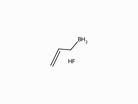 BCC=C.F